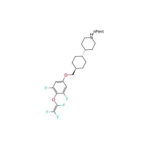 CCCCC[SiH]1CCC([C@H]2CC[C@H](COc3cc(F)c(OC(F)=C(F)F)c(F)c3)CC2)CC1